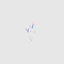 Cc1ccc(F)c(N2CC3(CC(c4nnc5n4-c4ccc(Cl)cc4CN(CC4(F)COC4)C5)C3)C2)c1F